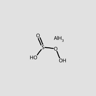 O=S(O)OO.[AlH3]